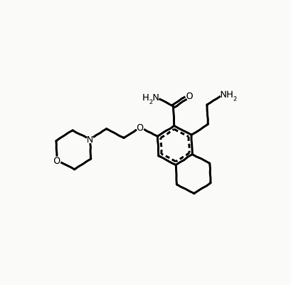 NCCc1c2c(cc(OCCN3CCOCC3)c1C(N)=O)CCCC2